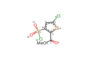 COC(=O)c1sc(Cl)cc1S(=O)(=O)Cl